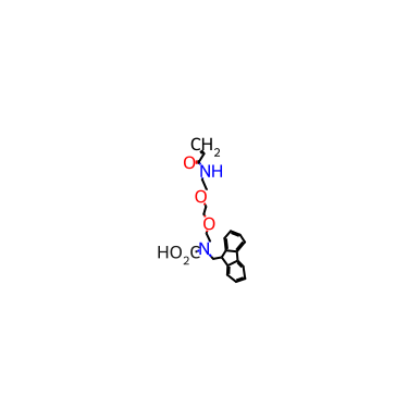 C=CC(=O)NCCOCCOCCN(CC1c2ccccc2-c2ccccc21)C(=O)O